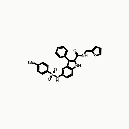 CC(C)(C)c1ccc(S(=O)(=O)Nc2ccc3[nH]c(C(=O)NCc4cccs4)c(-c4ccccc4)c3c2)cc1